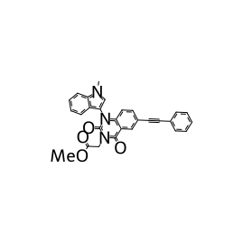 COC(=O)Cn1c(=O)c2cc(C#Cc3ccccc3)ccc2n(-c2cn(C)c3ccccc23)c1=O